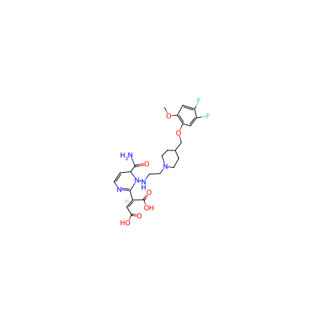 COc1cc(F)c(F)cc1OCC1CCN(CCNN2C(/C(=C/C(=O)O)C(=O)O)=NC=CC2C(N)=O)CC1